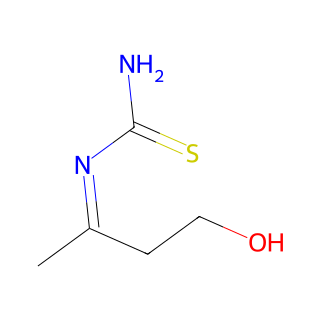 CC(CCO)=NC(N)=S